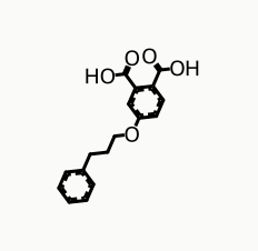 O=C(O)c1ccc(OCCCc2ccccc2)cc1C(=O)O